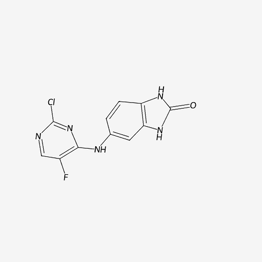 O=c1[nH]c2ccc(Nc3nc(Cl)ncc3F)cc2[nH]1